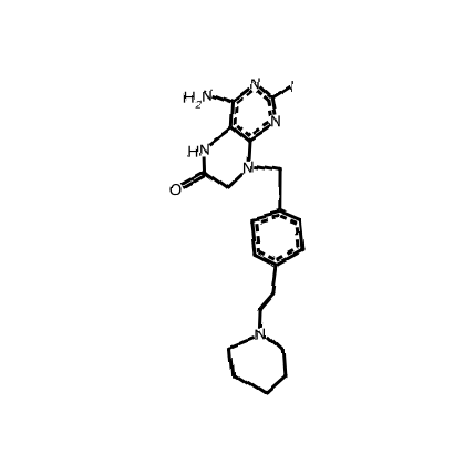 Nc1nc(I)nc2c1NC(=O)CN2Cc1ccc(CCN2CCCCC2)cc1